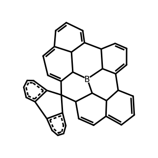 C1=CC2=CC=C3C4B5C6C(=CC=CC6C(=C1)C24)C1C=CC=C2C=CC(C5C21)C31c2ccccc2-c2ccccc21